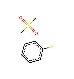 CS(C)(=O)=O.Fc1ccccc1